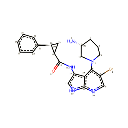 N[C@@H]1CCCN(c2c(Br)cnc3[nH]cc(NC(=O)C4C[C@@H]4c4ccccc4)c23)C1